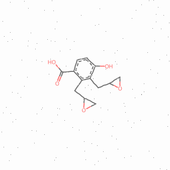 O=C(O)c1ccc(O)c(CC2CO2)c1CC1CO1